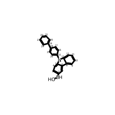 OBc1ccc2c(c1)c1ccccc1n2-c1ccc(-c2ccccc2)cc1